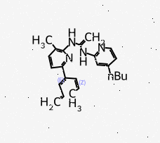 C=C/C=C(\C=C/C)c1ccc(C)c(NC(=C)Nc2cc(CCCC)ccn2)n1